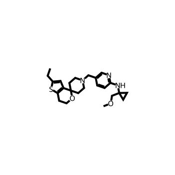 CCc1cc2c(s1)CCOC21CCN(Cc2ccc(NC3(COC)CC3)nc2)CC1